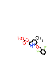 Cc1cc(OCc2c(F)cccc2F)n2ncc(OC(=O)O)c2c1